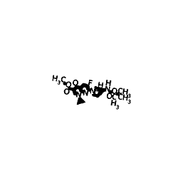 CCOC(=O)c1cn(C2CC2)c2nc(N3CC[C@@H]4[C@H](C3)[C@H]4NC(=O)OC(C)(C)C)c(F)cc2c1=O